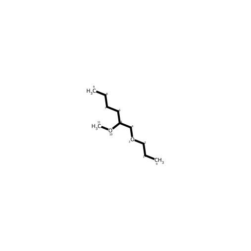 C[CH]COCC(CCCC)OC